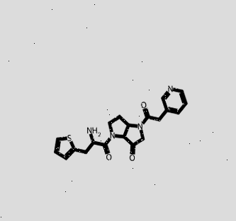 NC(Cc1cccs1)C(=O)N1CCC2C1C(=O)CN2C(=O)Cc1cccnc1